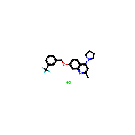 Cc1cc(N2CCCC2)c2ccc(OCc3cccc(C(F)(F)F)c3)cc2n1.Cl